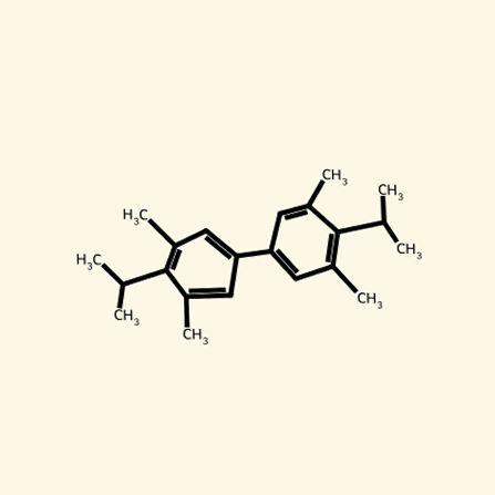 Cc1cc(-c2cc(C)c(C(C)C)c(C)c2)cc(C)c1C(C)C